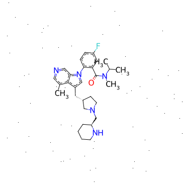 Cc1cncc2c1c(C[C@@H]1CCN(C[C@@H]3CCCCN3)C1)cn2-c1ccc(F)cc1C(=O)N(C)C(C)C